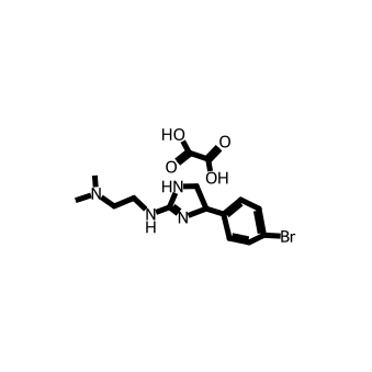 CN(C)CCNC1=NC(c2ccc(Br)cc2)CN1.O=C(O)C(=O)O